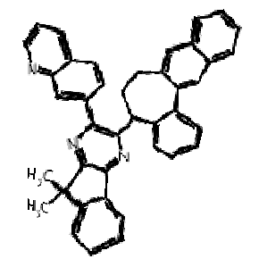 CC1(C)c2ccccc2-c2nc(C3CCc4cc5ccccc5cc4-c4ccccc43)c(-c3ccc4cccnc4c3)nc21